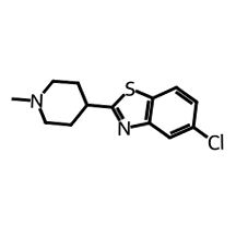 CN1CCC(c2nc3cc(Cl)ccc3s2)CC1